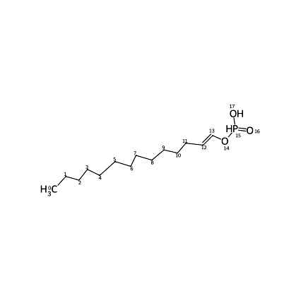 CCCCCCCCCCCCC=CO[PH](=O)O